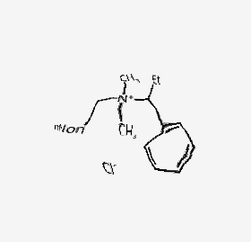 CCCCCCCCCC[N+](C)(C)C(CC)c1ccccc1.[Cl-]